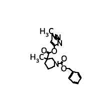 Cn1cc(OC(=O)C2(C)CCCN(C(=O)OCc3ccccc3)C2)nn1